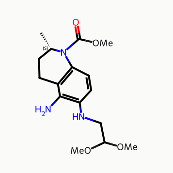 COC(=O)N1c2ccc(NCC(OC)OC)c(N)c2CC[C@@H]1C